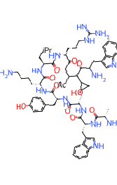 CC(=O)C(CC(=O)[C@H](CCCNC(=N)N)NC(=O)[C@H](CC(C)C)NC(=O)[C@@H](CCCCN)NC(=O)[C@H](Cc1ccc(O)cc1)NC(=O)[C@H](CO)NC(=O)[C@@H](Cc1c[nH]c2ccccc12)NC(=O)[C@H](C)N)[C](C(=O)[C@H](N)Cc1c[nH]c2ccccc12)C1CC1